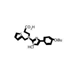 CC(C)COc1ccc(-c2csc(N(CCC(=O)O)Cc3cccs3)n2)cc1.Cl